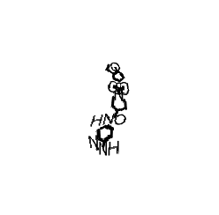 O=C(Nc1ccc2[nH]cnc2c1)C1CCN(S(=O)(=O)c2ccc3c(c2)CCO3)CC1